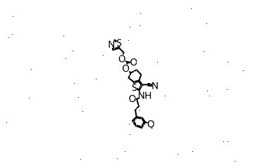 COc1cccc(CCC(=O)Nc2sc3c(c2C#N)CCC(OC(=O)OCc2cncs2)C3)c1